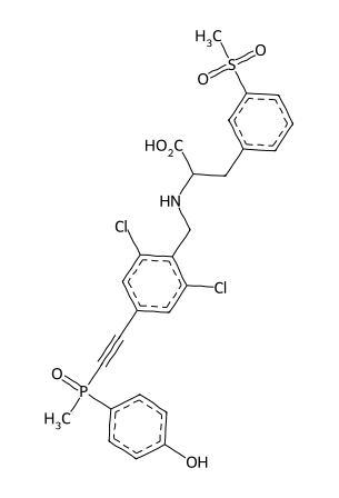 CP(=O)(C#Cc1cc(Cl)c(CNC(Cc2cccc(S(C)(=O)=O)c2)C(=O)O)c(Cl)c1)c1ccc(O)cc1